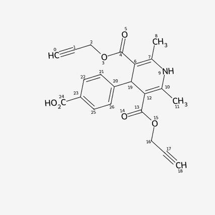 C#CCOC(=O)C1=C(C)NC(C)=C(C(=O)OCC#C)C1c1ccc(C(=O)O)cc1